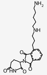 NCCCCCNCCCc1cccc2c1C(=O)N(C1CCC(=O)NC1=O)C2=O